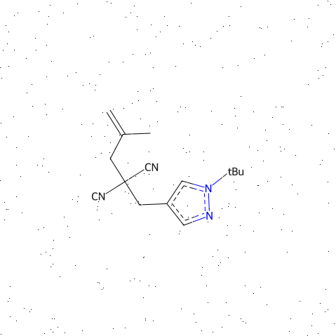 [C-]#[N+]C(C#N)(CC(=C)C)Cc1cnn(C(C)(C)C)c1